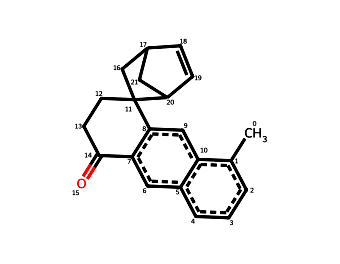 Cc1cccc2cc3c(cc12)C1(CCC3=O)CC2C=CC1C2